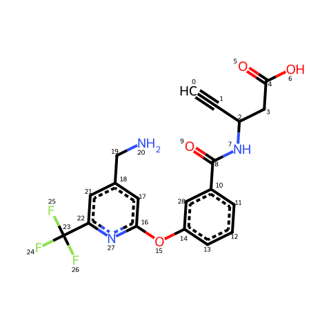 C#CC(CC(=O)O)NC(=O)c1cccc(Oc2cc(CN)cc(C(F)(F)F)n2)c1